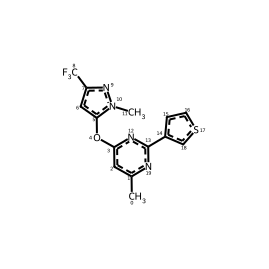 Cc1cc(Oc2cc(C(F)(F)F)nn2C)nc(-c2ccsc2)n1